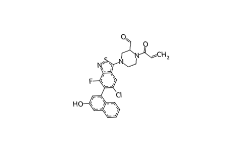 C=CC(=O)N1CCN(c2snc3c(F)c(-c4cc(O)cc5ccccc45)c(Cl)cc23)CC1C=O